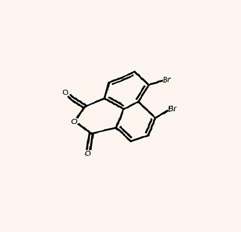 O=C1OC(=O)c2ccc(Br)c3c(Br)ccc1c23